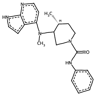 C[C@@H]1CCN(C(=O)Nc2ccccc2)CC1N(C)c1ccnc2[nH]ccc12